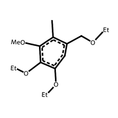 CCOCc1cc(OCC)c(OCC)c(OC)c1C